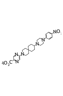 O=C(O)c1cnc(N2CCC3(CCC(N4CCN(c5ccc([N+](=O)[O-])cc5)CC4)CC3)CC2)cn1